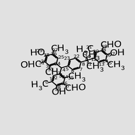 Cc1cc(C(c2ccc(C(C)(C)c3cc(C)c(O)c(C=O)c3C)cc2)c2cc(C)c(O)c(C=O)c2C)c(C)c(C=O)c1O